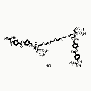 Cl.N=C(N)Nc1ccc(C(=O)Oc2ccc(CNS(=O)(=O)N(CCOCCOCCOCCOCCOCCN(C(CC(=O)O)C(=O)O)S(=O)(=O)NCc3ccc(OC(=O)c4ccc(NC(=N)N)cc4)cc3)C(CC(=O)O)C(=O)O)cc2)cc1